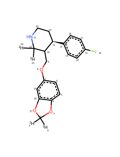 [2H]C1([2H])Oc2ccc(OCC3[C@H](c4ccc(F)cc4)CCNC3([2H])[2H])cc2O1